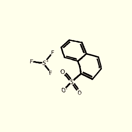 F[S+](F)F.O=S(=O)([O-])c1cccc2ccccc12